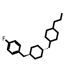 CCCC1CCC(C[C@H]2CC[C@H](Cc3ccc(F)cc3)CC2)CC1